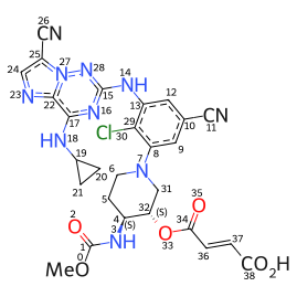 COC(=O)N[C@H]1CCN(c2cc(C#N)cc(Nc3nc(NC4CC4)c4ncc(C#N)n4n3)c2Cl)C[C@@H]1OC(=O)C=CC(=O)O